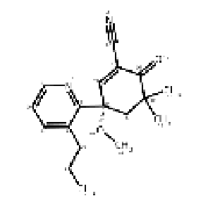 CCCc1cccnc1[C@@]1(OC)C=C(C#N)C(=O)C(C)(C)C1